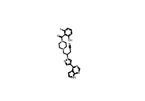 N#CCC(CN1CCN(C(=O)c2c(O)cccc2F)CC1)n1cc(-c2ncnc3[nH]ccc23)cn1